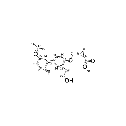 COC(=O)C1CC1COc1ccc(-c2cc(OC(C)C)ccc2F)cc1CCO